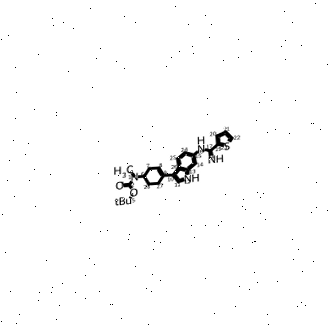 CN(C(=O)OC(C)(C)C)C1CC=C(c2c[nH]c3cc(NC(=N)c4cccs4)ccc23)CC1